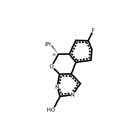 CC(C)[C@H]1Oc2nc(O)ncc2-c2ccc(F)cc21